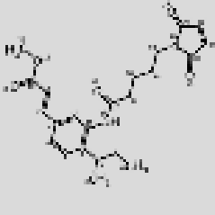 CCC(C)c1ccc(/C=C/C(=O)OC)cc1NC(=O)CCCCN1C(=O)C=CC1=O